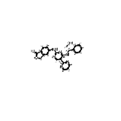 O=C1OCc2cc(Nc3ncc(-c4ncccn4)c(N[C@H](CO)c4ccccc4)n3)ccc21